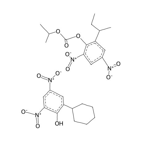 CCC(C)c1cc([N+](=O)[O-])cc([N+](=O)[O-])c1OC(=O)OC(C)C.O=[N+]([O-])c1cc(C2CCCCC2)c(O)c([N+](=O)[O-])c1